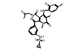 Cn1c(=O)c(F)c(Nc2ccc(I)cc2F)c2c(=O)n(CC(F)F)nc(-c3cccc(NS(=O)(=O)C4CC4)c3)c21